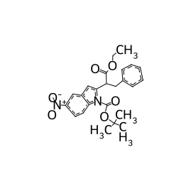 CCOC(=O)C(Cc1ccccc1)c1cc2cc([N+](=O)[O-])ccc2n1C(=O)OC(C)(C)C